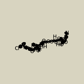 Cc1ncsc1-c1ccc(CNC(=O)[C@@H]2C[C@@H](O)CN2C(=O)[C@@H](NC(=O)CCC(=O)NCCOCCOCCNC(=O)N2CCN(CC[C@H](CSc3ccccc3)Nc3ccc(SNC(=O)c4ccc(N5CCN(CC6=C(c7ccc(Cl)cc7)CCC(C)(C)C6)CC5)cc4)cc3S(=O)(=O)C(F)(F)F)CC2)C(C)(C)C)cc1